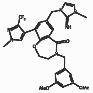 COc1cc(CN2CCOc3c(cc(Cn4ccn(C)c4=N)cc3-c3cn(C)nc3C(F)(F)F)C2=O)cc(OC)c1